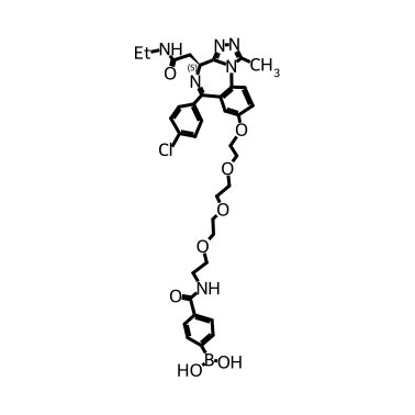 CCNC(=O)C[C@@H]1N=C(c2ccc(Cl)cc2)c2cc(OCCOCCOCCOCCNC(=O)c3ccc(B(O)O)cc3)ccc2-n2c(C)nnc21